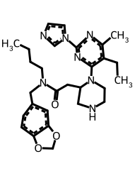 CCCCN(Cc1ccc2c(c1)OCO2)C(=O)CC1CNCCN1c1nc(-n2ccnc2)nc(C)c1CC